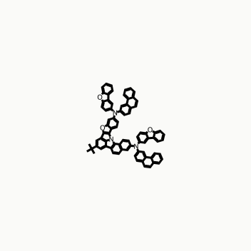 CC(C)(C)c1cc2c3ccc4cc(N(c5ccc6ccc7ccccc7c6c5)c5ccc6oc7ccccc7c6c5)ccc4c3n3c2c(c1)c1oc2cc(N(c4ccc5ccc6ccccc6c5c4)c4ccc5oc6ccccc6c5c4)ccc2c13